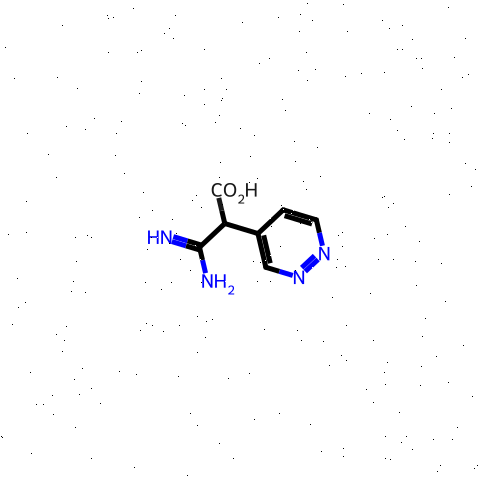 N=C(N)C(C(=O)O)c1ccnnc1